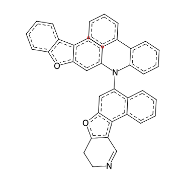 C1=NCCc2oc3cc(N(c4ccc5c(c4)oc4ccccc45)c4ccccc4-c4ccccc4)c4ccccc4c3c21